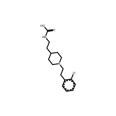 O=C(O)NCCC1CCN(CCc2ccccc2Cl)CC1